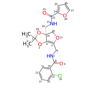 CC1(C)OC2=C(CNC(=O)c3ccccc3Cl)OC[C@]2(CNC(=O)c2ccco2)O1